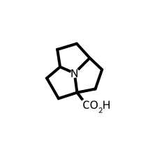 O=C(O)C12CCC3CCC(CC1)N32